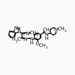 C=N/C=C(\C(C)=N/CNc1ccc(C(=C)NC2CCN(C)CC2)cc1OC)n1nnc2ccccc21